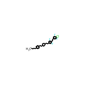 CCCCCc1ccc(CCC2CCC(CCc3cc(F)c(CCc4cc(F)c(Cl)c(F)c4)c(F)c3)CC2)cc1